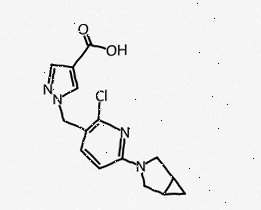 O=C(O)c1cnn(Cc2ccc(N3CC4CC4C3)nc2Cl)c1